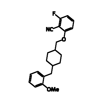 COc1ccccc1CC1CCC(COc2cccc(F)c2C#N)CC1